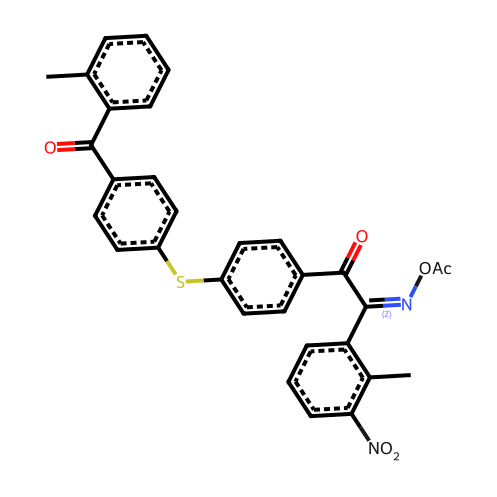 CC(=O)O/N=C(\C(=O)c1ccc(Sc2ccc(C(=O)c3ccccc3C)cc2)cc1)c1cccc([N+](=O)[O-])c1C